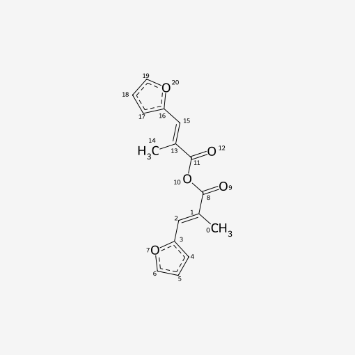 C/C(=C\c1ccco1)C(=O)OC(=O)/C(C)=C/c1ccco1